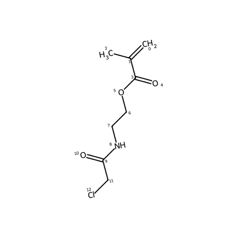 C=C(C)C(=O)OCCNC(=O)CCl